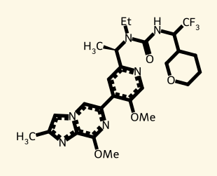 CCN(C(=O)NC(C1CCCOC1)C(F)(F)F)[C@H](C)c1cc(-c2cn3cc(C)nc3c(OC)n2)c(OC)cn1